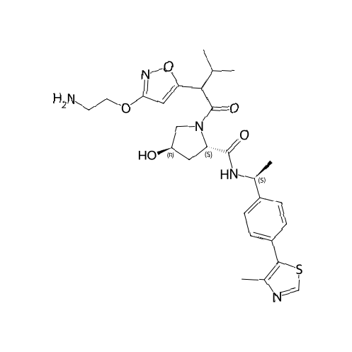 Cc1ncsc1-c1ccc([C@H](C)NC(=O)[C@@H]2C[C@@H](O)CN2C(=O)C(c2cc(OCCN)no2)C(C)C)cc1